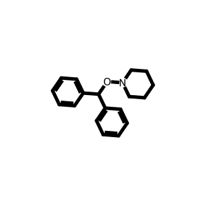 c1ccc(C(ON2CCCCC2)c2ccccc2)cc1